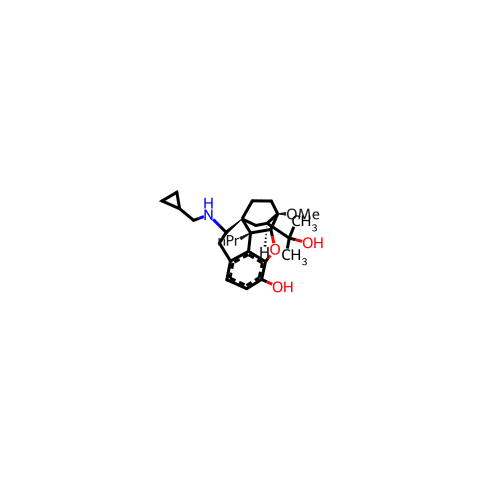 CCC[C@]12c3c4ccc(O)c3OC1[C@@]1(OC)CC[C@@]2(C[C@@H]1C(C)(C)O)C(NCC1CC1)C4